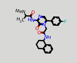 CNC(C)C(=O)Nc1ncc(-c2ccc(F)cc2)n(CC(=O)NC2CCCc3ccccc32)c1=O